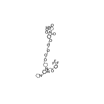 O=C1CCC(N2C(=O)c3ccc(OCCOCCOCCOCCOCC4CCC(n5c(CC(=O)c6cccc(C(F)(F)F)c6)nc6cc(CN7CCCCC7)ccc65)CC4)cc3C2=O)C(=O)N1